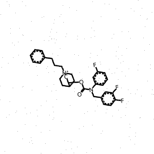 O=C(OC1C[N+]2(CCCc3ccccc3)CCC1CC2)N(Cc1ccc(F)c(F)c1)c1cccc(F)c1